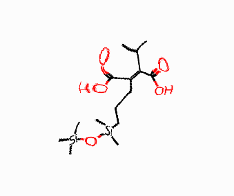 CC(C)C(C(=O)O)=C(CCC[Si](C)(C)O[Si](C)(C)C)C(=O)O